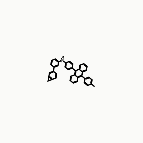 Cc1ccc(-c2c3ccccc3c(-c3ccc(N(C)c4cccc(-c5ccc6c(c5)C6)c4)cc3)c3ccccc23)cc1